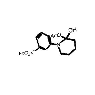 CCOC(=O)c1cccc(N2CCCCC2(O)OC(C)=O)c1